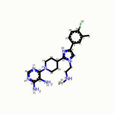 Cc1cc(-c2cn(CCNC(C)C)c(C3CCN(c4ncnc(N)c4N)CC3)n2)ccc1F